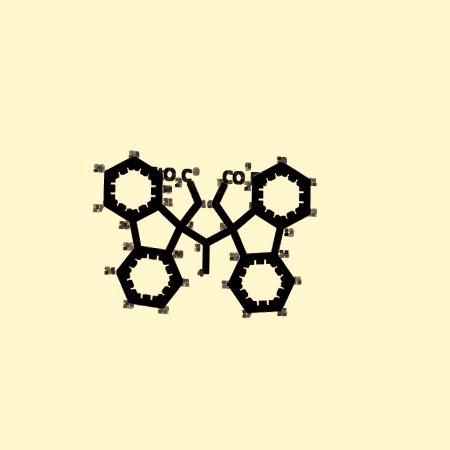 CCOC(=O)CC1(C(C)C2(CC(=O)OCC)c3ccccc3-c3ccccc32)c2ccccc2-c2ccccc21